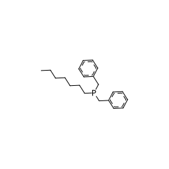 CCCCCCCP(Cc1ccccc1)Cc1ccccc1